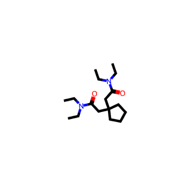 CCN(CC)C(=O)CC1(CC(=O)N(CC)CC)CCCC1